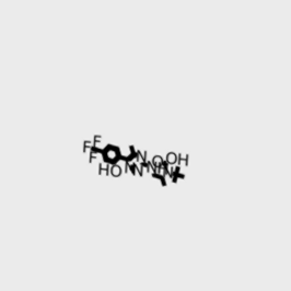 Cc1nc(NCC(C)N(C(=O)O)C(C)(C)C)nnc1-c1ccc(C(F)(F)F)cc1O